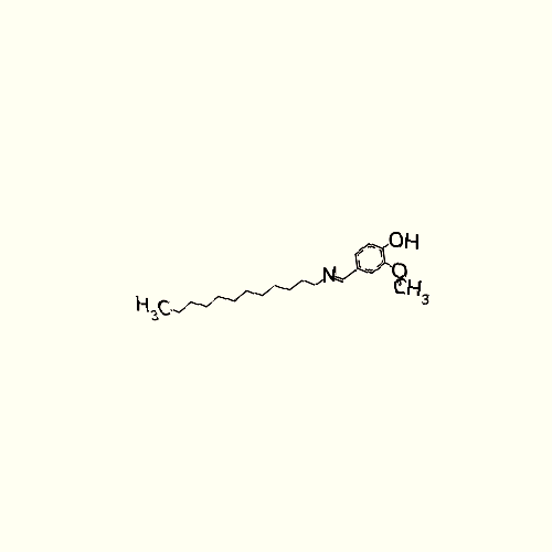 CCCCCCCCCCCC/N=C/c1ccc(O)c(OC)c1